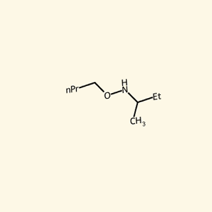 CCCCONC(C)CC